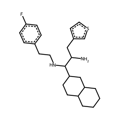 NC(Cc1ccsc1)C(NCCc1ccc(F)cc1)C1CCC2CCCCC2C1